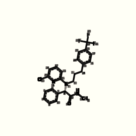 CNC(=O)[C@H](c1ccccc1)N(CCCc1ccc(C(F)(F)F)cc1)c1cccc(Cl)n1